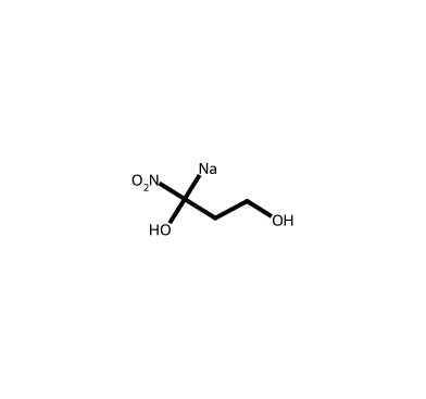 O=[N+]([O-])[C](O)([Na])CCO